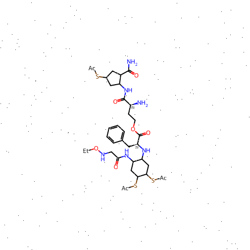 CCONCC(=O)NC1CC(SC(C)=O)C(SC(C)=O)CC1N[C@@H](Cc1ccccc1)C(=O)OCC[C@H](N)C(=O)NC1CC(SC(C)=O)CC1C(N)=O